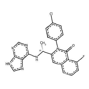 C[C@@H](Nc1ncnc2[nH]cnc12)c1cc2cccc(F)c2c(=O)n1-c1ccc(Cl)cc1